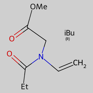 C=CN(C(=O)CC)C(C(=O)OC)[C@H](C)CC